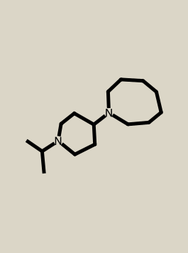 CC(C)N1CCC(N2CCCCCCC2)CC1